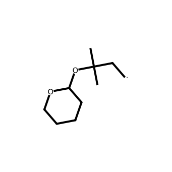 [CH2]CC(C)(C)OC1CCCCO1